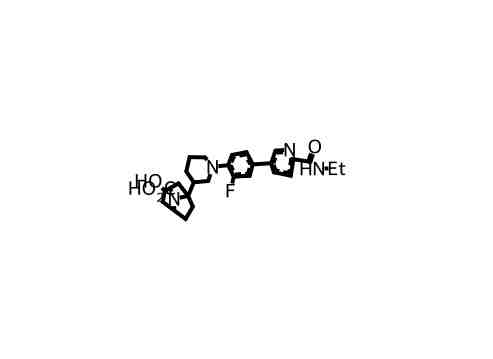 CCNC(=O)c1ccc(-c2ccc(N3CCCC(C45CCC(CC(O)C4)N5C(=O)O)C3)c(F)c2)cn1